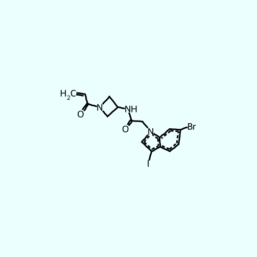 C=CC(=O)N1CC(NC(=O)Cn2cc(I)c3ccc(Br)cc32)C1